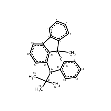 CC1(C)c2ccccc2-c2cccc(N(c3ccccc3)C(C)(C)C)c21